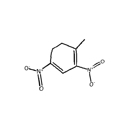 CC1=C([N+](=O)[O-])C=C([N+](=O)[O-])CC1